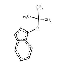 CC(C)(C)On1ncc2ccccc21